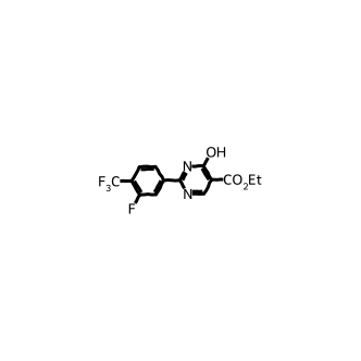 CCOC(=O)c1cnc(-c2ccc(C(F)(F)F)c(F)c2)nc1O